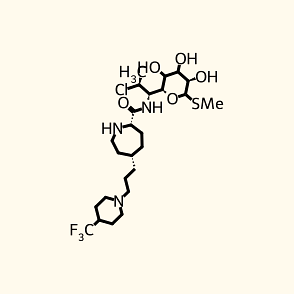 CSC1O[C@H]([C@H](NC(=O)[C@@H]2CC[C@H](CCCN3CCC(C(F)(F)F)CC3)CCN2)[C@H](C)Cl)C(O)C(O)[C@H]1O